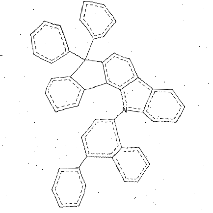 c1ccc(-c2ccc(-n3c4ccccc4c4ccc5c(c43)-c3ccccc3C5(c3ccccc3)c3ccccc3)c3ccccc23)cc1